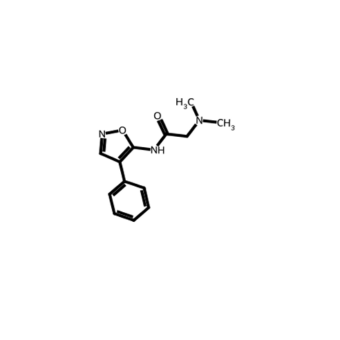 CN(C)CC(=O)Nc1oncc1-c1ccccc1